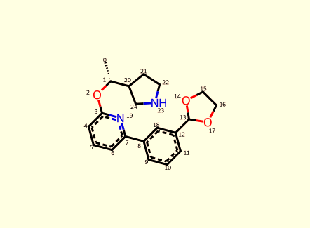 C[C@@H](Oc1cccc(-c2cccc(C3OCCO3)c2)n1)C1CCNC1